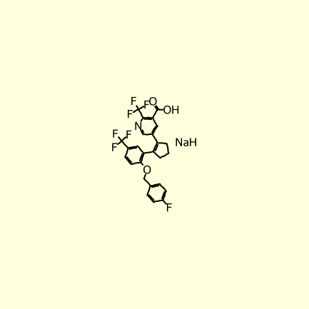 O=C(O)c1cc(C2=C(c3cc(C(F)(F)F)ccc3OCc3ccc(F)cc3)CCC2)cnc1C(F)(F)F.[NaH]